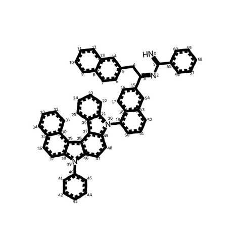 N=C(/N=C(\Cc1ccc2ccccc2c1)c1ccc2c(-n3c4ccccc4c4c5c6c7ccccc7ccc6n(-c6ccccc6)c5ccc43)cccc2c1)c1ccccc1